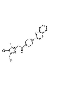 Cc1c(Cl)c(CF)nn1CC(=O)N1CCN(c2ccc3ccccc3n2)CC1